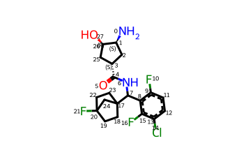 N[C@H]1C[C@H](C(=O)NC(c2c(F)ccc(Cl)c2F)C23CCC(F)(CC2)C3)C[C@H]1O